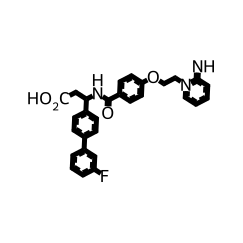 N=c1ccccn1CCOc1ccc(C(=O)NC(CC(=O)O)c2ccc(-c3cccc(F)c3)cc2)cc1